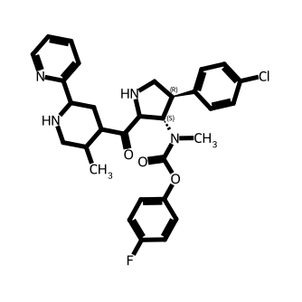 CC1CNC(c2ccccn2)CC1C(=O)C1NC[C@@H](c2ccc(Cl)cc2)[C@@H]1N(C)C(=O)Oc1ccc(F)cc1